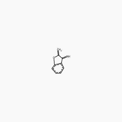 C=C1Oc2ccccc2C1=N